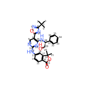 CC(C)(C)c1noc(-c2cnc(Nc3ccc4c(c3)C(C)(C)OC4=O)nc2N[C@H](CO)c2ccccc2)n1